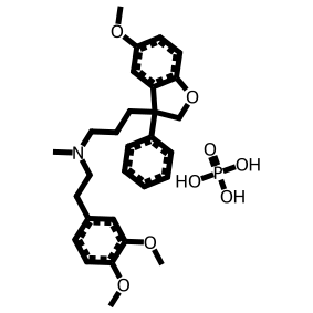 COc1ccc2c(c1)C(CCCN(C)CCc1ccc(OC)c(OC)c1)(c1ccccc1)CO2.O=P(O)(O)O